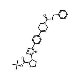 CC(C)(C)OC(=O)N1CCCC1c1ncc(-c2ccc(C3=CCN(C(=O)OCc4ccccc4)CC3)cc2)[nH]1